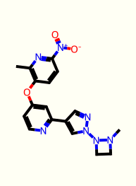 Cc1nc([N+](=O)[O-])ccc1Oc1ccnc(-c2cnn(N3CCN3C)c2)c1